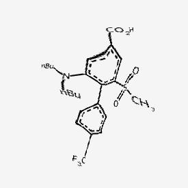 CCCCN(CCCC)c1cc(C(=O)O)cc(S(C)(=O)=O)c1-c1ccc(C(F)(F)F)cc1